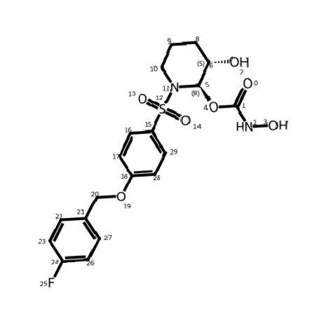 O=C(NO)O[C@@H]1[C@@H](O)CCCN1S(=O)(=O)c1ccc(OCc2ccc(F)cc2)cc1